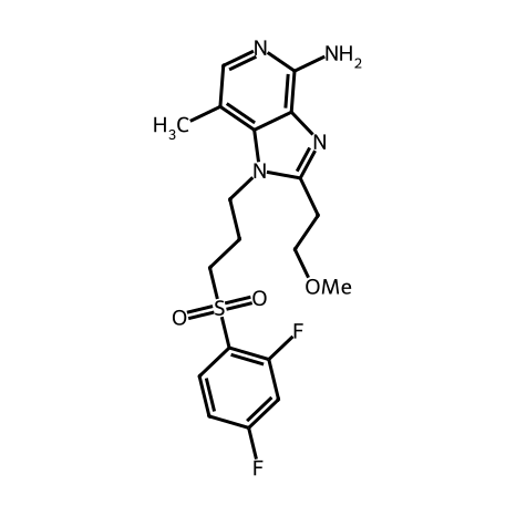 COCCc1nc2c(N)ncc(C)c2n1CCCS(=O)(=O)c1ccc(F)cc1F